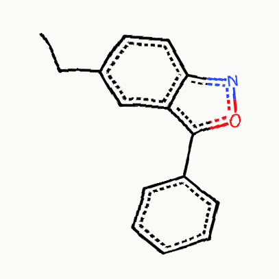 CCc1ccc2noc(-c3ccccc3)c2c1